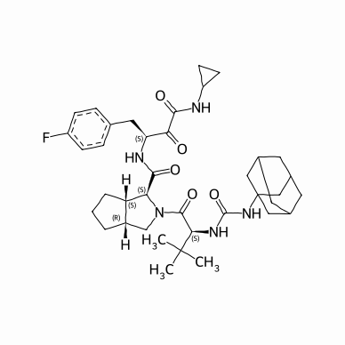 CC(C)(C)[C@H](NC(=O)NC12CC3CC(CC(C3)C1)C2)C(=O)N1C[C@@H]2CCC[C@@H]2[C@H]1C(=O)N[C@@H](Cc1ccc(F)cc1)C(=O)C(=O)NC1CC1